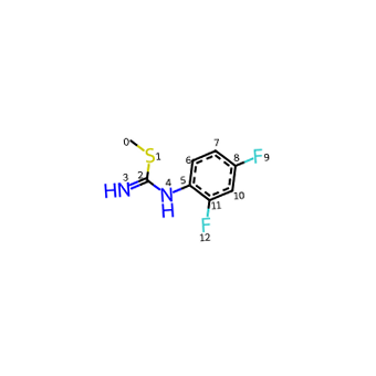 CSC(=N)Nc1ccc(F)cc1F